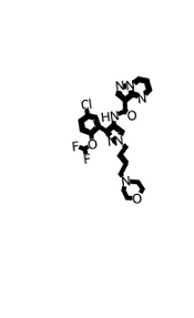 O=C(Nc1cn(CC=CCN2CCOCC2)nc1-c1cc(Cl)ccc1OC(F)F)c1cnn2cccnc12